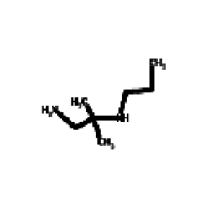 CCCNC(C)(C)CN